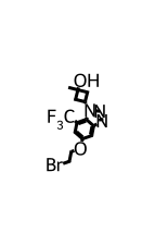 CC1(O)CC(n2nnc3cc(OCCBr)cc(C(F)(F)F)c32)C1